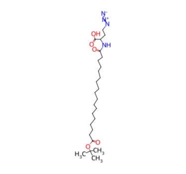 CC(C)(C)OC(=O)CCCCCCCCCCCCCCCCC(=O)NC(CCN=[N+]=[N-])C(=O)O